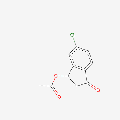 CC(=O)OC1CC(=O)c2ccc(Cl)cc21